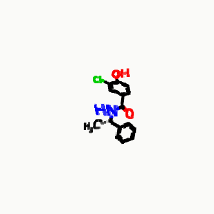 C[C@H](NC(=O)c1ccc(O)c(Cl)c1)c1ccccc1